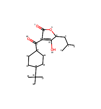 CC(C)CC1OC(=O)C(C(=O)C2CCC(C(C)(C)C)CC2)=C1O